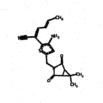 C/C=C/C=C(/C#N)c1sc(CN2C(=O)C3C(C2=O)C3(C)C)cc1N